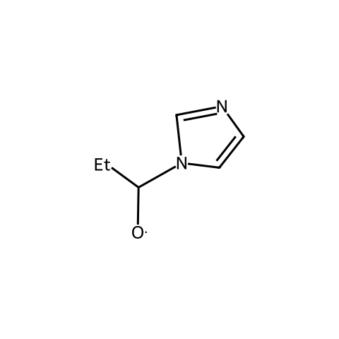 CCC([O])n1ccnc1